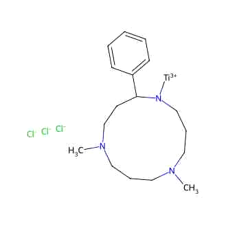 CN1CCCN(C)CCC(c2ccccc2)[N]([Ti+3])CCC1.[Cl-].[Cl-].[Cl-]